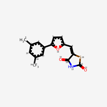 Cc1cc(-c2ccc(C=C3SC(=O)NC3=O)o2)cc(C(F)(F)F)c1